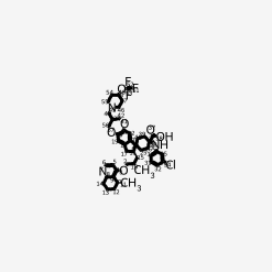 C[C@@H](COc1ccnc2c1[C@H](C)CCC2)C[C@H]1Cc2cc3c(cc2C12CCC(Nc1cccc(Cl)c1)(C(=O)O)CC2)OCC(CN1CCC(OC(F)(F)F)CC1)CO3